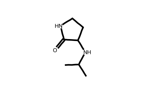 CC(C)NC1CCNC1=O